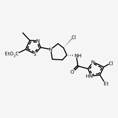 CCOC(=O)c1sc(N2CC[C@@H](NC(=O)c3nc(Cl)c(CC)[nH]3)[C@@H](Cl)C2)nc1C